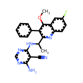 COc1c(-c2ccccc2)c(C(C)Nc2ncnc(N)c2C#N)nc2ccc(F)cc12